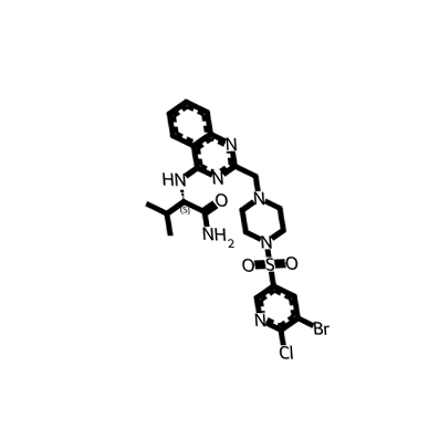 CC(C)[C@H](Nc1nc(CN2CCN(S(=O)(=O)c3cnc(Cl)c(Br)c3)CC2)nc2ccccc12)C(N)=O